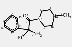 C[CH]C(N)(C(=O)N1CCN(C)CC1)c1ccccc1